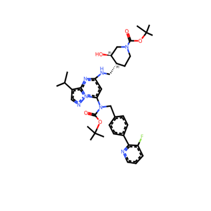 CC(C)c1cnn2c(N(Cc3ccc(-c4ncccc4F)cc3)C(=O)OC(C)(C)C)cc(NC[C@H]3CCN(C(=O)OC(C)(C)C)C[C@@H]3O)nc12